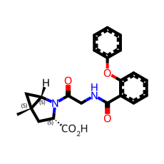 C[C@@]12C[C@@H]1N(C(=O)CNC(=O)c1ccccc1Oc1ccccc1)[C@H](C(=O)O)C2